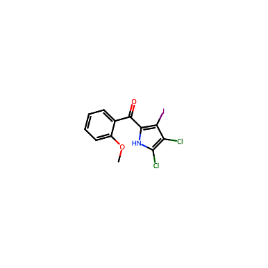 COc1ccccc1C(=O)c1[nH]c(Cl)c(Cl)c1I